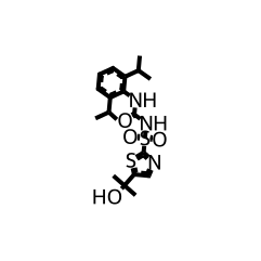 CC(C)c1cccc(C(C)C)c1NC(=O)NS(=O)(=O)c1ncc(C(C)(C)O)s1